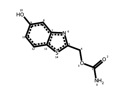 NC(=O)OCc1nc2cc(O)ccc2s1